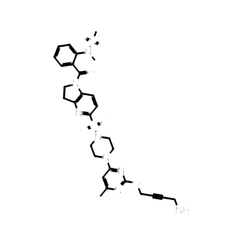 Cc1cc(N2CCN(S(=O)(=O)c3ccc4c(n3)CCN4C(=O)c3ccccc3N(C)S(C)(=O)=O)CC2)nc(OCC#CCN)n1